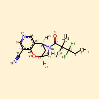 CCC(F)(F)C(C)(C)C(=O)N1C[C@@H]2C[C@H]1c1cncc(C#N)c1O2